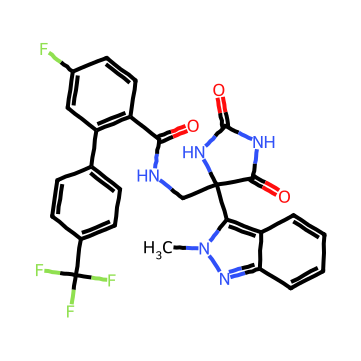 Cn1nc2ccccc2c1C1(CNC(=O)c2ccc(F)cc2-c2ccc(C(F)(F)F)cc2)NC(=O)NC1=O